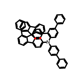 c1ccc(-c2ccc(N(c3ccc4c(c3)C3(c5ccccc5-c5ccccc53)c3c(-c5ccccc5)cccc3-4)c3ccc(-c4ccccc4)cc3-c3ccccc3)cc2)cc1